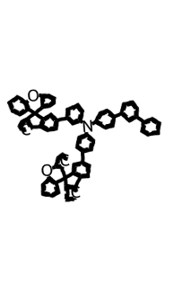 c1ccc(-c2cccc(-c3ccc(N(c4ccc(-c5ccc6c(c5)C5(c7ccccc7Oc7ccccc75)c5ccccc5-6)cc4)c4cccc(-c5ccc6c(c5)C5(c7ccccc7Oc7ccccc75)c5ccccc5-6)c4)cc3)c2)cc1